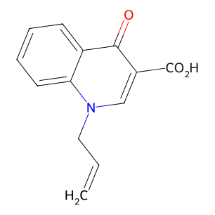 C=CCn1cc(C(=O)O)c(=O)c2ccccc21